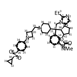 CCc1nccn1C[C@@](c1cccc(F)c1)(C1CCN(CC2CN(c3ccc(S(=O)(=O)C4CC4)cc3)C2)CC1)[C@H]1CCCC1OC(=O)NC